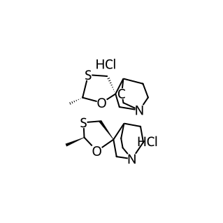 C[C@@H]1O[C@@]2(CS1)CN1CCC2CC1.C[C@H]1O[C@]2(CS1)CN1CCC2CC1.Cl.Cl